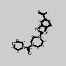 C=C(C)c1ccc2oc(N3CCCN(C(=O)N4CCOCC4)CC3)nc2c1